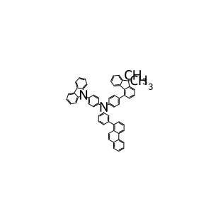 CC1(C)c2ccccc2-c2c(-c3ccc(N(c4ccc(-n5c6ccccc6c6ccccc65)cc4)c4cccc(-c5cccc6c5ccc5ccccc56)c4)cc3)cccc21